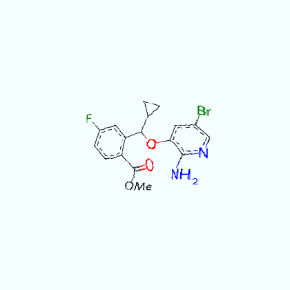 COC(=O)c1ccc(F)cc1C(Oc1cc(Br)cnc1N)C1CC1